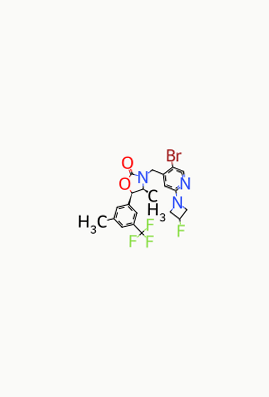 Cc1cc([C@H]2OC(=O)N(Cc3cc(N4CC(F)C4)ncc3Br)[C@H]2C)cc(C(F)(F)F)c1